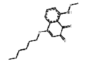 CCCCCCOC1=CC(=O)C(=O)c2c(NSC)cccc21